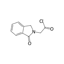 O=C(Cl)CN1Cc2ccccc2C1=O